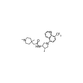 C[C@@H]1CN(c2ccc(C(F)(F)F)c3ncccc23)C[C@@H]1NC(=O)CC1(C)CCN(C)CC1